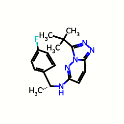 C[C@@H](Nc1ccc2nnc(C(C)(C)C)n2n1)c1ccc(F)cc1